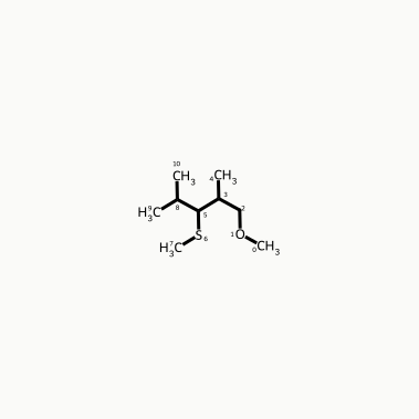 COCC(C)C(SC)C(C)C